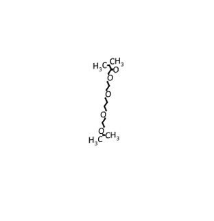 CC(C)OCCCOCCCCOCCCOCC(=O)C(C)C